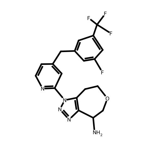 NC1COCCc2c1nnn2-c1cc(Cc2cc(F)cc(C(F)(F)F)c2)ccn1